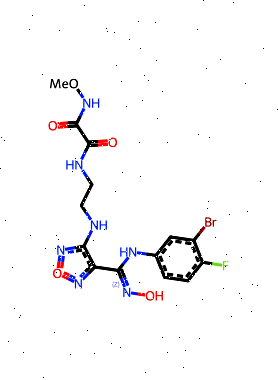 CONC(=O)C(=O)NCCNc1nonc1/C(=N/O)Nc1ccc(F)c(Br)c1